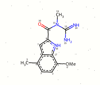 COc1ccc(C)c2cc(C(=O)N(C)C(=N)N)[nH]c12